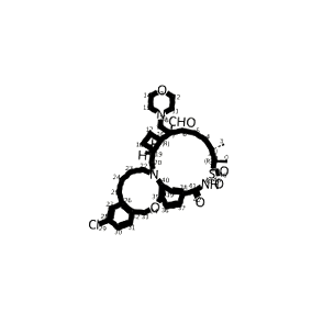 C[C@@H]1[C@@H](C)CCC[C@](C=O)(CN2CCOCC2)[C@@H]2CC[C@H]2CN2CCCCc3cc(Cl)ccc3COc3ccc(cc32)C(=O)NS1(=O)=O